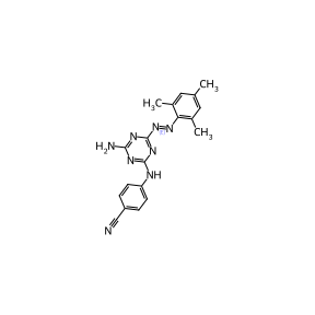 Cc1cc(C)c(/N=N/c2nc(N)nc(Nc3ccc(C#N)cc3)n2)c(C)c1